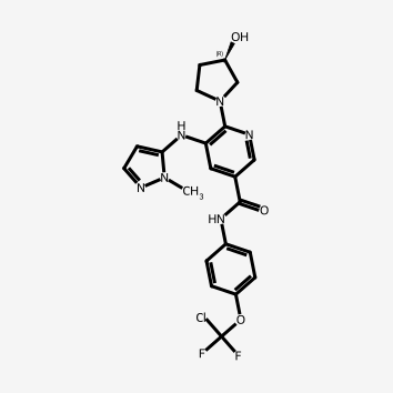 Cn1nccc1Nc1cc(C(=O)Nc2ccc(OC(F)(F)Cl)cc2)cnc1N1CC[C@@H](O)C1